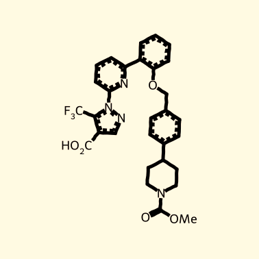 COC(=O)N1CCC(c2ccc(COc3ccccc3-c3cccc(-n4ncc(C(=O)O)c4C(F)(F)F)n3)cc2)CC1